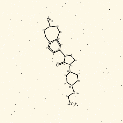 CN1CCc2ccc(N3CCN(C4CCC(OCC(=O)O)CC4)C3=O)cc2CC1